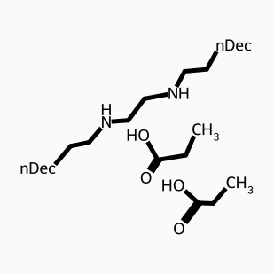 CCC(=O)O.CCC(=O)O.CCCCCCCCCCCCNCCNCCCCCCCCCCCC